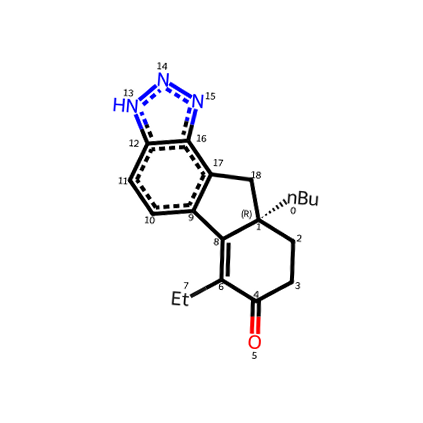 CCCC[C@]12CCC(=O)C(CC)=C1c1ccc3[nH]nnc3c1C2